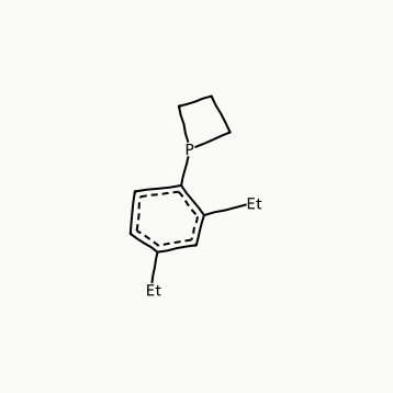 CCc1ccc(P2CCC2)c(CC)c1